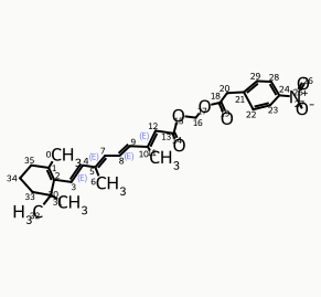 CC1=C(/C=C/C(C)=C/C=C/C(C)=C/C(=O)OCOC(=O)Cc2ccc([N+](=O)[O-])cc2)C(C)(C)CCC1